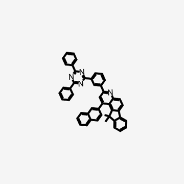 CC1(C)c2ccccc2-c2ccc3nc(-c4cccc(-c5nc(-c6ccccc6)nc(-c6ccccc6)n5)c4)cc(-c4ccc5ccccc5c4)c3c21